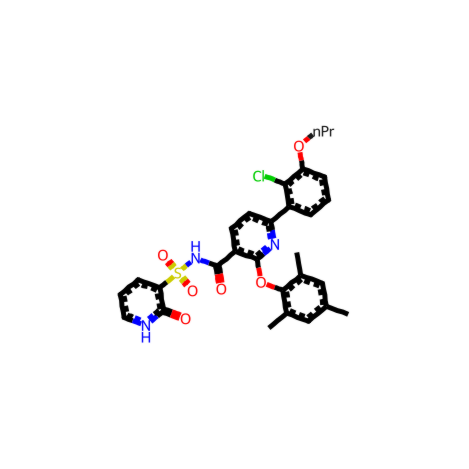 CCCOc1cccc(-c2ccc(C(=O)NS(=O)(=O)c3ccc[nH]c3=O)c(Oc3c(C)cc(C)cc3C)n2)c1Cl